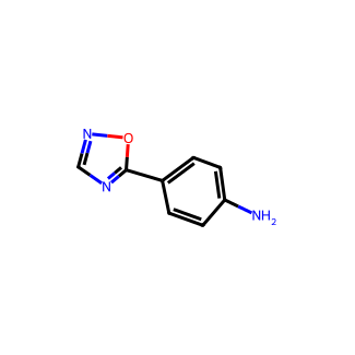 Nc1ccc(-c2ncno2)cc1